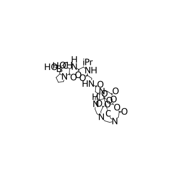 CC(C)[C@H](NC(=O)CNC(=O)CC[C@@H]1C(=O)OC23OC(=O)CN4CCN(CCN1CCN(CC4)CC(=O)O2)CC(=O)O3)C(=O)N[C@H](C)C(=O)N1CCC[C@H]1B(O)O